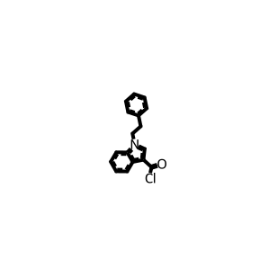 O=C(Cl)c1cn(CCc2ccccc2)c2ccccc12